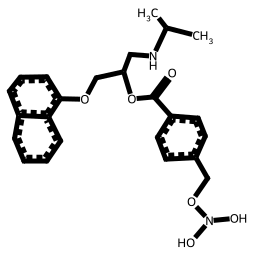 CC(C)NCC(COc1cccc2ccccc12)OC(=O)c1ccc(CON(O)O)cc1